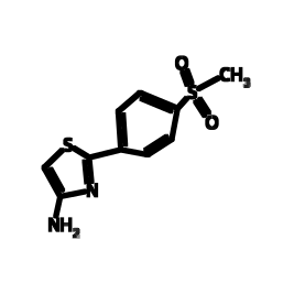 CS(=O)(=O)c1ccc(-c2nc(N)cs2)cc1